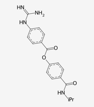 CC(C)NC(=O)c1ccc(OC(=O)c2ccc(NC(=N)N)cc2)cc1